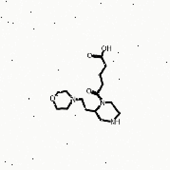 O=C(O)CCCC(=O)N1CCNCC1CCN1CCOCC1